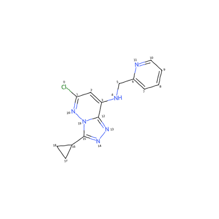 Clc1cc(NCc2ccccn2)c2nnc(C3CC3)n2n1